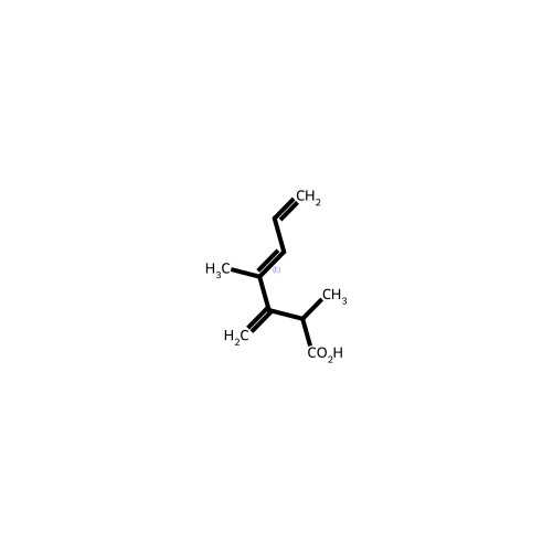 C=C/C=C(\C)C(=C)C(C)C(=O)O